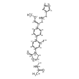 CON=C(CNCc1cnoc1)c1ccc(-c2ccc(N3C[C@H](CNC(C)=O)OC3=O)cc2F)cc1